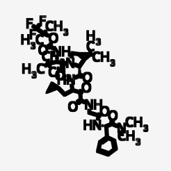 CN(C)C(=O)[C@@H](NC(=O)CNC(=O)C(=O)C(CC1CC1)NC(=O)[C@@H]1C2C(CN1C(=O)[C@@H](NC(=O)OC(C)(C)C(F)(F)F)C(C)(C)C)C2(C)C)c1ccccc1